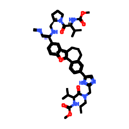 C=N/C=C(\NC[C@@H]1CCCN1C(=O)[C@@H](NC(=O)OC)C(C)C)c1ccc2oc3c(c2c1)CCCc1cc(-c2cnc(CN(CCC)C(=O)C(NC(=O)OC)C(C)C)[nH]2)ccc1-3